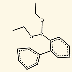 CCOP(OCC)c1ccccc1-c1ccccc1